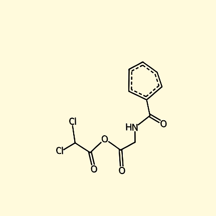 O=C(CNC(=O)c1ccccc1)OC(=O)C(Cl)Cl